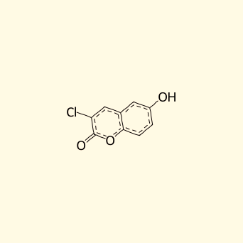 O=c1oc2ccc(O)cc2cc1Cl